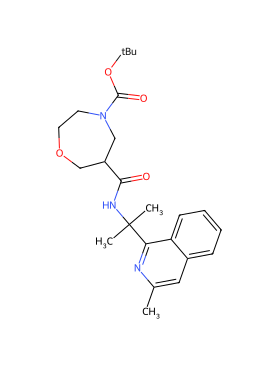 Cc1cc2ccccc2c(C(C)(C)NC(=O)C2COCCN(C(=O)OC(C)(C)C)C2)n1